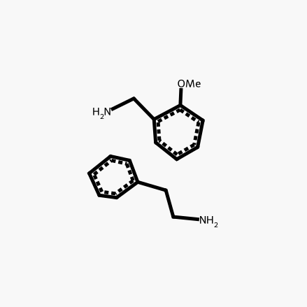 COc1ccccc1CN.NCCc1ccccc1